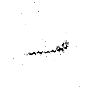 NCCOCCOCCOCCn1cc(C(=O)N2CCS(=O)(=O)CC2)nn1